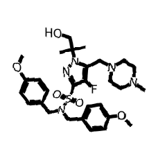 COc1ccc(CN(Cc2ccc(OC)cc2)S(=O)(=O)c2nn(C(C)(C)CO)c(CN3CCN(C)CC3)c2F)cc1